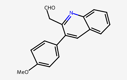 COc1ccc(-c2cc3ccccc3nc2CC=O)cc1